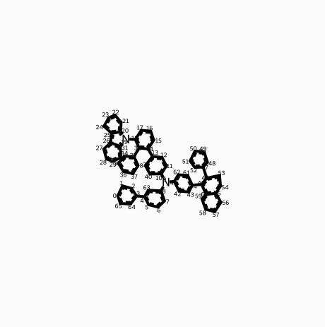 c1ccc(-c2cccc(N(c3ccc(-c4cccc(-n5c6ccccc6c6ccccc65)c4-c4ccccc4)cc3)c3ccc(-c4c(-c5ccccc5)ccc5ccccc45)cc3)c2)cc1